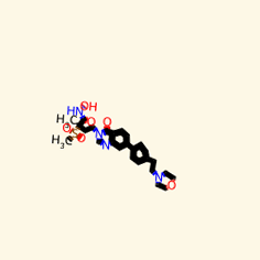 C[C@@](CCn1cnc2cc(-c3ccc(CCN4CCOCC4)cc3)ccc2c1=O)(C(=O)NO)S(C)(=O)=O